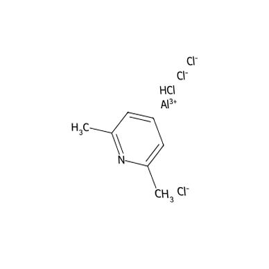 Cc1cccc(C)n1.Cl.[Al+3].[Cl-].[Cl-].[Cl-]